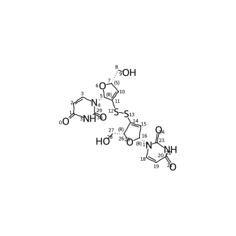 O=c1ccn([C@@H]2O[C@H](CO)C=C2SSC2=C[C@H](n3ccc(=O)[nH]c3=O)O[C@@H]2CO)c(=O)[nH]1